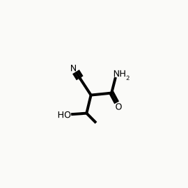 CC(O)C(C#N)C(N)=O